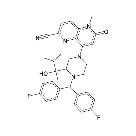 CC(C)C(C)(O)C1CN(c2cc(=O)n(C)c3ccc(C#N)nc23)CCN1C(c1ccc(F)cc1)c1ccc(F)cc1